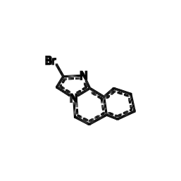 Brc1cn2ccc3ccccc3c2n1